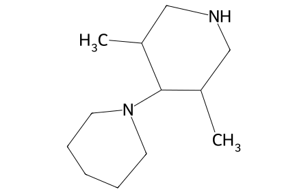 CC1CNCC(C)C1N1CCCCC1